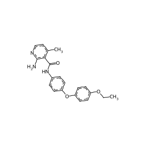 CCOc1ccc(Oc2ccc(NC(=O)c3c(C)ccnc3N)cc2)cc1